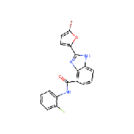 O=C(Nc1ccccc1F)c1cccc2[nH]c(-c3ccc(Br)o3)nc12